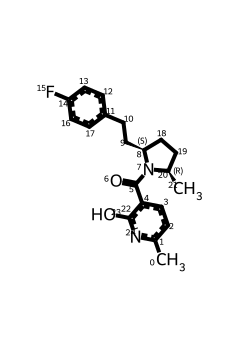 Cc1ccc(C(=O)N2[C@@H](CCc3ccc(F)cc3)CC[C@H]2C)c(O)n1